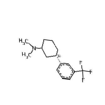 CN(C)C1CCC[C@H](c2cccc(C(F)(F)F)c2)C1